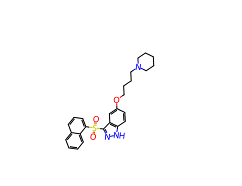 O=S(=O)(c1cccc2ccccc12)c1n[nH]c2ccc(OCCCCN3CCCCC3)cc12